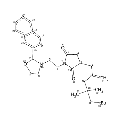 C=C(CC1CC(=O)N(CCN2CCOC2c2ccc3ccccc3c2)C1=O)CC(C)(C)CC(C)(C)C